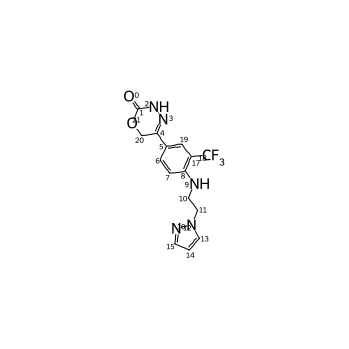 O=C1NN=C(c2ccc(NCCn3cccn3)c(C(F)(F)F)c2)CO1